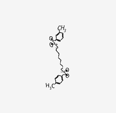 Cc1ccc(S(=O)(=O)SCCCCCCSS(=O)(=O)c2cccc(C)c2)cc1